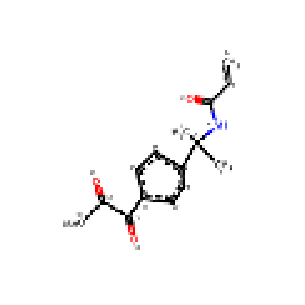 C=CC(=O)NC(C)(C)c1ccc(C(=O)C(=O)OC)cc1